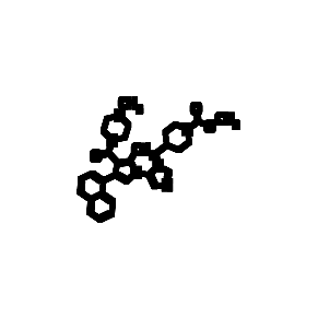 COC(=O)N1CCC(Cn2cncc2-n2cc(-c3cccc4ccccc34)c(C(=O)N3CCN(C)CC3)c2C)CC1